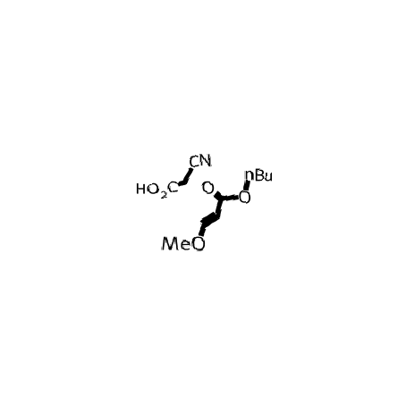 CCCCOC(=O)C=COC.N#CCC(=O)O